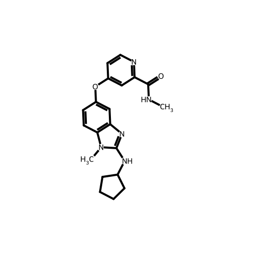 CNC(=O)c1cc(Oc2ccc3c(c2)nc(NC2CCCC2)n3C)ccn1